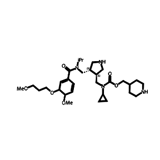 COCCCOC1C=C(C(=O)N(C[C@@H]2CNC[C@H]2CN(C(=O)OCC2CCNCC2)C2CC2)C(C)C)C=CC1OC